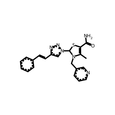 CC1=C(C(N)=O)SC(n2cc(C=Cc3ccccc3)nn2)N1Cc1cccnc1